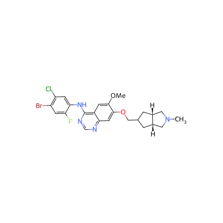 COc1cc2c(Nc3cc(Cl)c(Br)cc3F)ncnc2cc1OCC1C[C@@H]2CN(C)C[C@@H]2C1